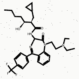 CCCC[C@H](O)[C@@H](CC1CC1)C(=O)NC1N=C(c2ccc(C(F)(F)F)cc2)c2ccccc2N(CCN(CC)CC)C1=O